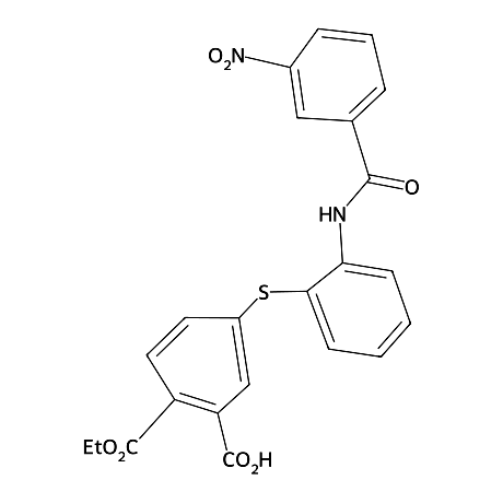 CCOC(=O)c1ccc(Sc2ccccc2NC(=O)c2cccc([N+](=O)[O-])c2)cc1C(=O)O